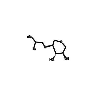 CCCCC(CC)CO[C@H]1COC[C@@H](O)[C@@H]1O